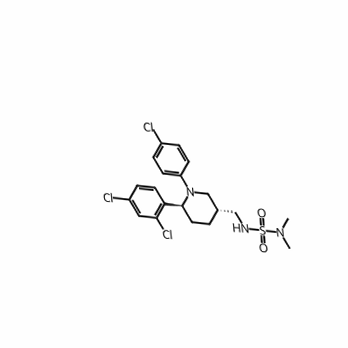 CN(C)S(=O)(=O)NC[C@@H]1CC[C@@H](c2ccc(Cl)cc2Cl)N(c2ccc(Cl)cc2)C1